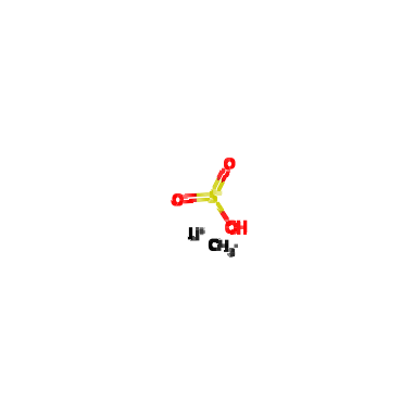 O=[S-](=O)O.[CH3].[Li+]